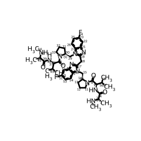 CN[C@H](C)C(=O)N[C@@H](C(=O)N1CCC[C@H]1Cn1c(Cc2nc3cc(F)ccc3n2C[C@@H]2CCCN2C(=O)[C@H](NC(=O)[C@@H](C)NC)C(C)C)nc2cc(F)ccc21)C(C)C